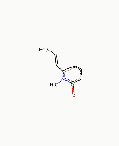 Cn1c(C=CC(=O)O)cccc1=O